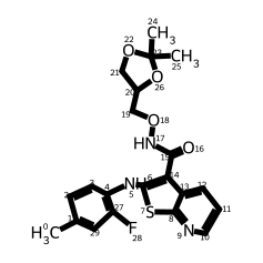 Cc1ccc(Nc2sc3ncccc3c2C(=O)NOCC2COC(C)(C)O2)c(F)c1